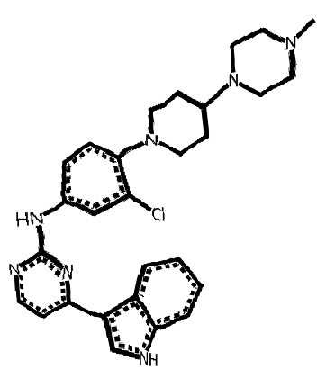 CN1CCN(C2CCN(c3ccc(Nc4nccc(-c5c[nH]c6ccccc56)n4)cc3Cl)CC2)CC1